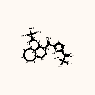 O=C(c1ccc(C(=O)C(F)(F)F)s1)N1CCN2CCCCCC2C1OC(=O)C(F)(F)F